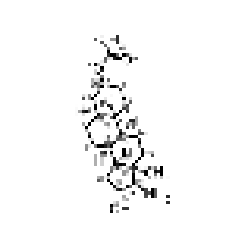 CC(=O)O[C@H]1CC[C@@]2(C)[C@@H](CC[C@@H]3[C@@H]2CC[C@]2(C)[C@@H](N)[C@H](O)C[C@@H]32)C1